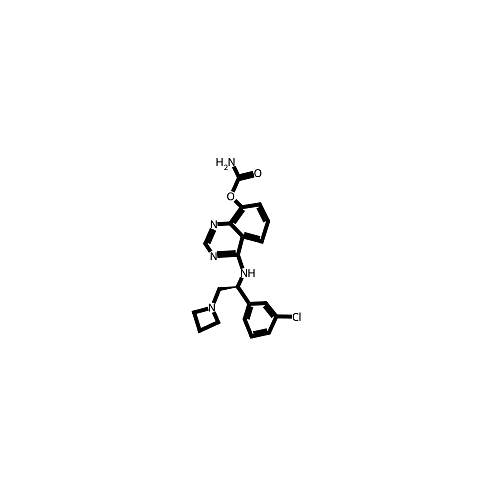 NC(=O)Oc1cccc2c(N[C@H](CN3CCC3)c3cccc(Cl)c3)ncnc12